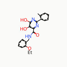 CCOc1ccccc1CNC(=O)c1nc(-c2ccccc2C)nc(O)c1O